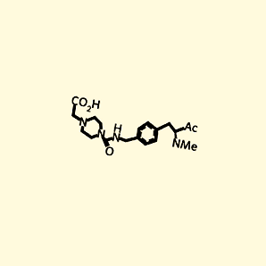 CN[C@@H](Cc1ccc(CNC(=O)N2CCN(CC(=O)O)CC2)cc1)C(C)=O